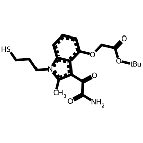 Cc1c(C(=O)C(N)=O)c2c(OCC(=O)OC(C)(C)C)cccc2n1CCCS